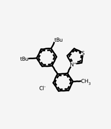 Cc1cccc(-c2cc(C(C)(C)C)cc(C(C)(C)C)c2)c1-[n+]1ccsc1.[Cl-]